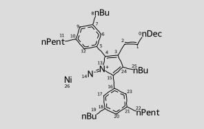 CCCCCCCCCCC=CC1=C(c2cc(CCCC)cc(CCCCC)c2)[N+](=[N-])C(c2cc(CCCC)cc(CCCCC)c2)=C1CCCC.[Ni]